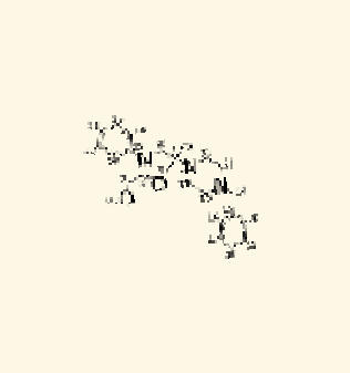 COCC(=O)N(CC(C)(C)N1CCN(Cc2ccccc2)CC1)c1ccccc1